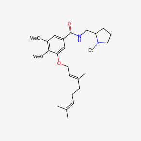 CCN1CCCC1CNC(=O)c1cc(OC)c(OC)c(OC/C=C(\C)CCC=C(C)C)c1